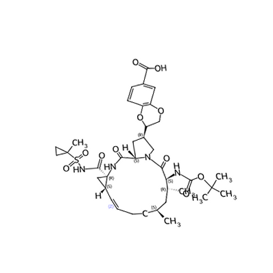 C[C@H]1CC/C=C\[C@@H]2C[C@@]2(C(=O)NS(=O)(=O)C2(C)CC2)NC(=O)[C@@H]2C[C@@H](C3COc4cc(C(=O)O)ccc4O3)CN2C(=O)[C@@H](NC(=O)OC(C)(C)C)[C@H](C)C1